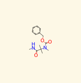 CNC(=O)C(C)(C)N(C)C(=O)OCc1ccccc1